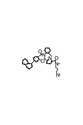 CN(C)CCCN(C)C(=O)c1ccc2n1Cc1ccccc1N(C(=O)c1ccc(-c3cccc4ccccc34)cc1Cl)C2